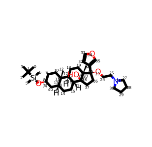 CC(C)(C)[Si](C)(C)O[C@H]1CC[C@@]2(C)[C@H](CC[C@@H]3[C@@H]2CC[C@]2(C)[C@@](OCCN4CCCC4)(c4ccoc4)CC[C@]32O)C1